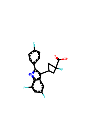 O=C(O)C1(F)CC(c2c(-c3ccc(F)cc3)[nH]c3c(F)cc(F)cc23)C1